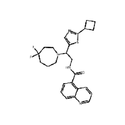 O=C(NCC(c1cnc(C2CCC2)s1)N1CCCC(F)(F)CC1)c1cccc2ncccc12